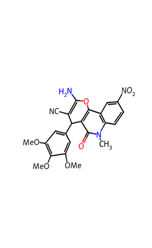 COc1cc(C2C(C#N)=C(N)Oc3c2c(=O)n(C)c2ccc([N+](=O)[O-])cc32)cc(OC)c1OC